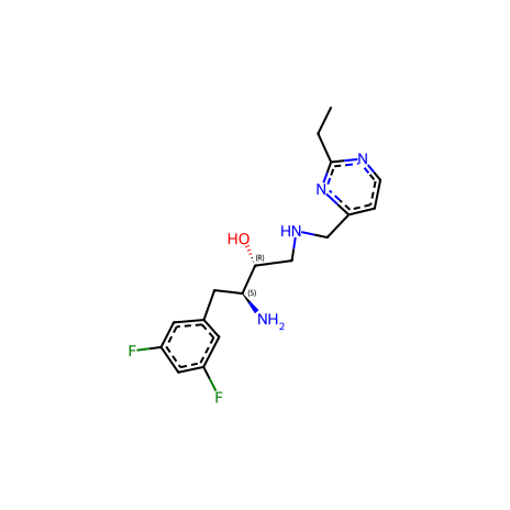 CCc1nccc(CNC[C@@H](O)[C@@H](N)Cc2cc(F)cc(F)c2)n1